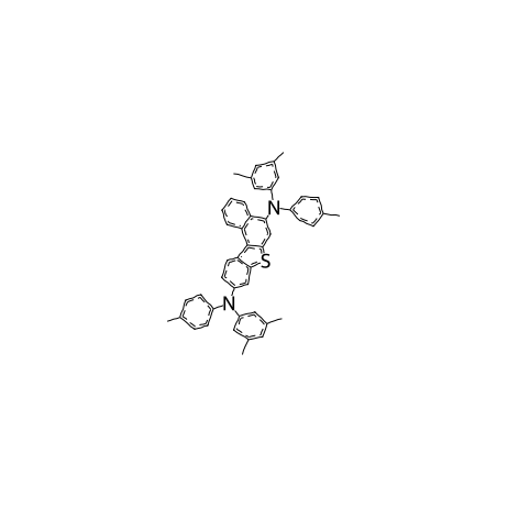 Cc1ccc(N(c2cc(C)cc(C)c2)c2ccc3c(c2)sc2cc(N(c4ccc(C)cc4)c4cc(C)cc(C)c4)c4ccccc4c23)cc1